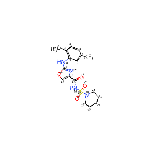 Cc1ccc(C(F)(F)F)cc1Nc1nc(C(=O)NS(=O)(=O)N2CCCCC2)co1